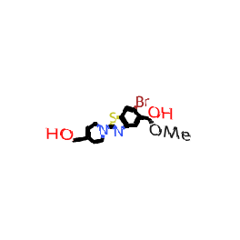 COC(O)c1cc2nc(N3CCC(CO)CC3)sc2cc1Br